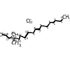 CCCCCCCCCCCCCC[N+](C)(C)CCCl.[Cl-]